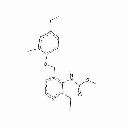 CCc1ccc(OCc2cccc(CC)c2NC(=O)OC)c(C)c1